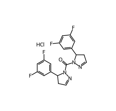 Cl.O=C(N1N=CCC1c1cc(F)cc(F)c1)N1N=CCC1c1cc(F)cc(F)c1